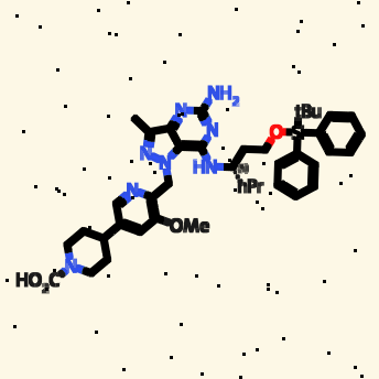 CCC[C@@H](CCO[Si](c1ccccc1)(c1ccccc1)C(C)(C)C)Nc1nc(N)nc2c(C)nn(Cc3ncc(C4CCN(C(=O)O)CC4)cc3OC)c12